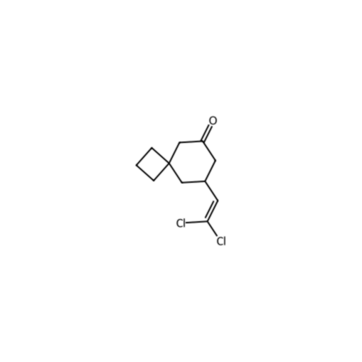 O=C1CC(C=C(Cl)Cl)CC2(CCC2)C1